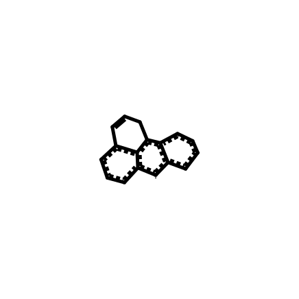 [c]1c2ccccc2c2c3c(cccc13)C=CC2